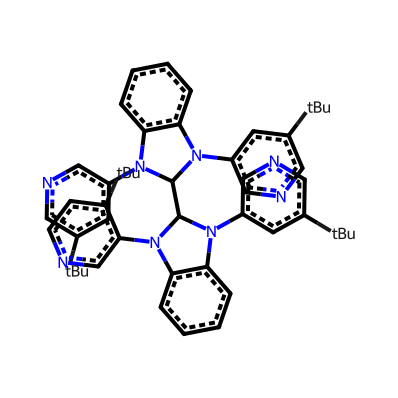 CC(C)(C)c1cncc(N2c3ccccc3N(c3cncc(C(C)(C)C)c3)C2C2N(c3cncc(C(C)(C)C)c3)c3ccccc3N2c2cnccc2C(C)(C)C)c1